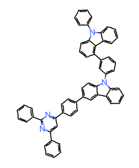 c1ccc(-c2cc(-c3ccc(-c4ccc5c(c4)c4ccccc4n5-c4cccc(-c5cccc6c5c5ccccc5n6-c5ccccc5)c4)cc3)nc(-c3ccccc3)n2)cc1